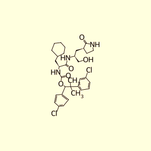 CC(C)(c1cccc(Cl)c1)C(OC(=O)N[C@@H](CC1CCCCC1)C(=O)N[C@H](CO)C[C@@H]1CCNC1=O)c1ccc(Cl)cc1